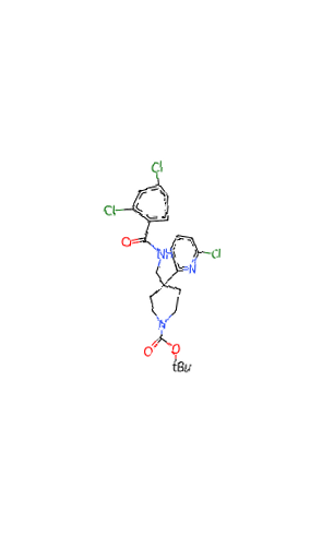 CC(C)(C)OC(=O)N1CCC(CNC(=O)c2ccc(Cl)cc2Cl)(c2cccc(Cl)n2)CC1